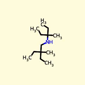 CCC(C)(CC)CNC(C)(CC)CC